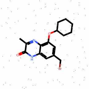 Cc1nc2c(OC3CCCCC3)cc(CBr)cc2[nH]c1=O